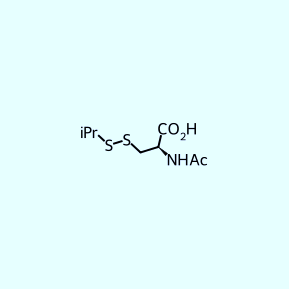 CC(=O)N[C@@H](CSSC(C)C)C(=O)O